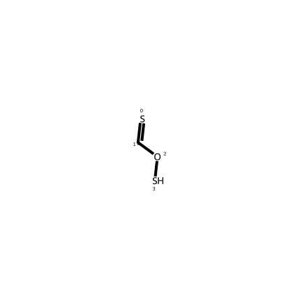 S=[C]OS